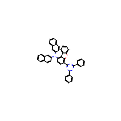 c1ccc(C2=NC(c3ccc(N(c4ccc5ccccc5c4)c4ccc5ccccc5c4)c4c3oc3ccccc34)=NC(c3ccccc3)N2)cc1